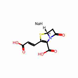 O=C(O)C=CC1=C(C(=O)O)N2C(=O)C[C@H]2S1.[NaH]